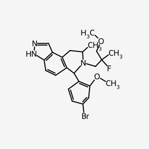 COCC(C)(F)CN1C(C)Cc2c(ccc3[nH]ncc23)C1c1ccc(Br)cc1OC